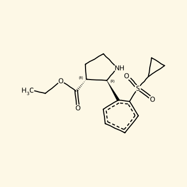 CCOC(=O)[C@@H]1CCN[C@H]1c1ccccc1S(=O)(=O)C1CC1